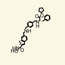 O=C(NO)c1cc2ccc(CNCc3ccc(CN[C@@H](Cc4ccccc4)C(=O)OC4CCCC4)cc3)cc2s1